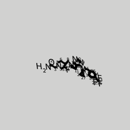 NC(=O)CN1CCC(Cn2ccc3c(N(Cc4ccc(C(F)(F)F)cc4)C4CC4)ncnc32)C(F)C1